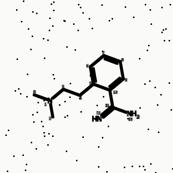 CN(C)CCc1ccccc1C(=N)N